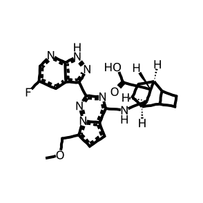 COCc1ccc2c(N[C@H]3[C@H](C(=O)O)[C@H]4CC[C@@H]3C3CCC34)nc(-c3n[nH]c4ncc(F)cc34)nn12